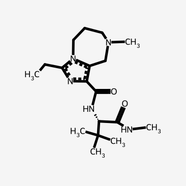 CCc1nc(C(=O)N[C@H](C(=O)NC)C(C)(C)C)c2n1CCCN(C)C2